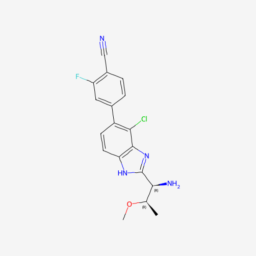 CO[C@H](C)[C@H](N)c1nc2c(Cl)c(-c3ccc(C#N)c(F)c3)ccc2[nH]1